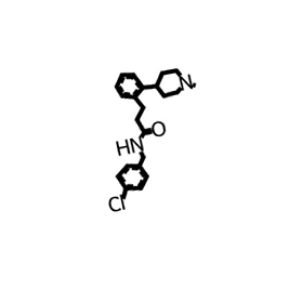 CN1CCC(c2ccccc2CCC(=O)NCc2ccc(Cl)cc2)CC1